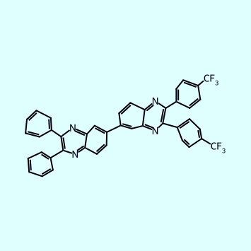 FC(F)(F)c1ccc(-c2nc3ccc(-c4ccc5nc(-c6ccccc6)c(-c6ccccc6)nc5c4)cc3nc2-c2ccc(C(F)(F)F)cc2)cc1